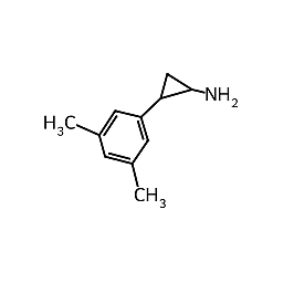 Cc1cc(C)cc(C2CC2N)c1